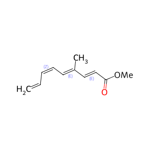 C=C\C=C/C=C(C)/C=C/C(=O)OC